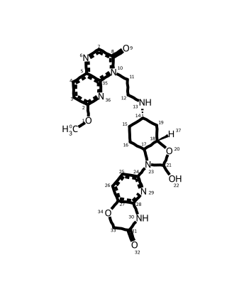 COc1ccc2ncc(=O)n(CCN[C@H]3CCC4[C@H](C3)OC(O)N4c3ccc4c(n3)NC(=O)CO4)c2n1